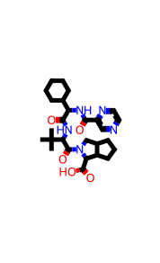 CC(C)(C)C(NC(=O)C(NC(=O)c1cnccn1)C1CCCCC1)C(=O)N1CC2CCCC2C1C(=O)O